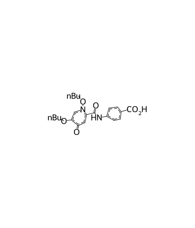 CCCCOc1cn(OCCCC)c(C(=O)Nc2ccc(C(=O)O)cc2)cc1=O